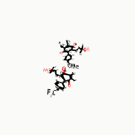 CC1=C(C)C(=O)C(c2ccc(C(F)(F)F)cc2)=C(CCC(C)(C)O)C1=O.COc1ccc(C2=C(CCC(C)(C)O)C(=O)C(C)=C(C)C2=O)cc1